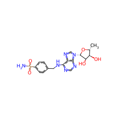 C[C@H]1O[C@@H](n2cnc3c(NCc4ccc(S(N)(=O)=O)cc4)ncnc32)[C@H](O)[C@@H]1O